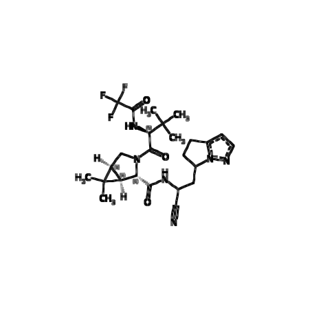 CC(C)(C)[C@H](NC(=O)C(F)(F)F)C(=O)N1C[C@H]2[C@@H]([C@H]1C(=O)NC(C#N)CC1CCc3ccnn31)C2(C)C